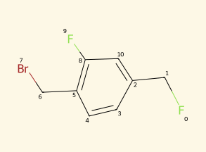 FCc1ccc(CBr)c(F)c1